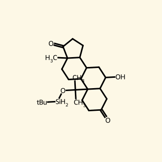 CC(C)(C)[SiH2]OC(C)(C)C12CCC(=O)CC1C(O)CC1C3CCC(=O)C3(C)CCC12